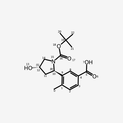 Cc1ccc(C(=O)O)cc1[C@H]1C[C@H](O)CN1C(=O)OC(C)(C)C